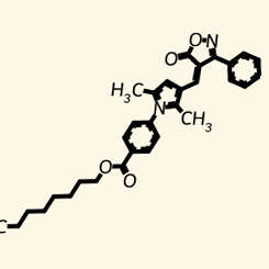 CCCCCCCCOC(=O)c1ccc(-n2c(C)cc(C=C3C(=O)ON=C3c3ccccc3)c2C)cc1